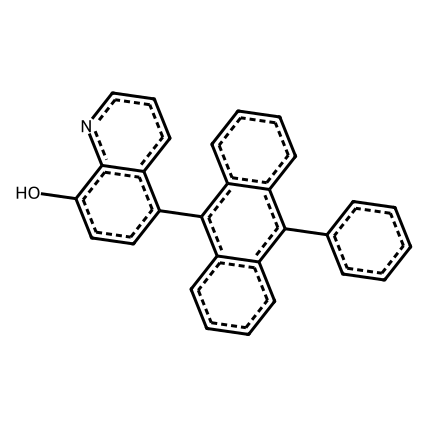 Oc1ccc(-c2c3ccccc3c(-c3ccccc3)c3ccccc23)c2cccnc12